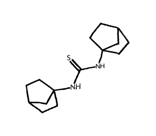 S=C(NC12CCC(CC1)C2)NC12CCC(CC1)C2